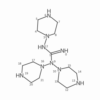 N=C(NN1CCNCC1)N(N1CCNCC1)N1CCNCC1